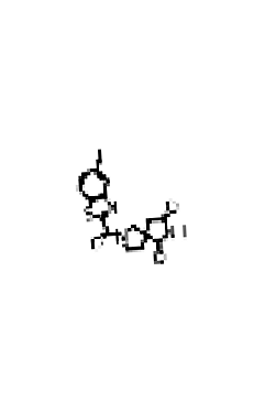 O=C1CC2(CCN(C(=O)c3nc4cc(I)ccc4s3)C2)C(=O)N1